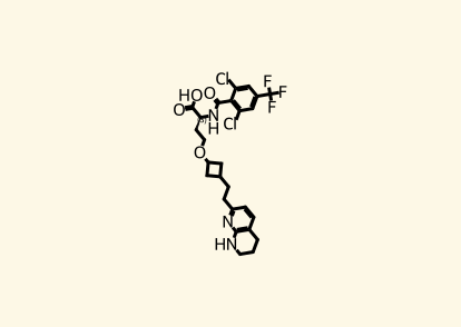 O=C(N[C@@H](CCOC1CC(CCc2ccc3c(n2)NCCC3)C1)C(=O)O)c1c(Cl)cc(C(F)(F)F)cc1Cl